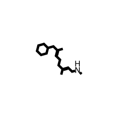 CNCC=C(C)CCC=C(C)CC1CCCCC1